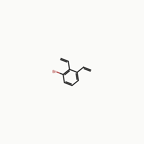 C=[C]c1cccc(Br)c1C=C